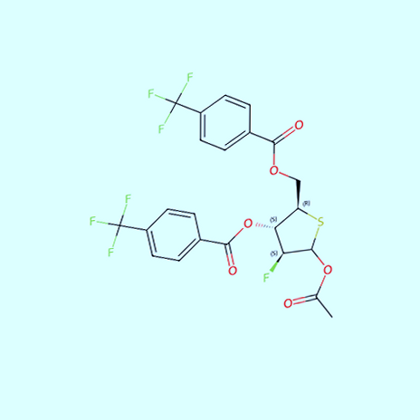 CC(=O)OC1S[C@H](COC(=O)c2ccc(C(F)(F)F)cc2)[C@@H](OC(=O)c2ccc(C(F)(F)F)cc2)[C@@H]1F